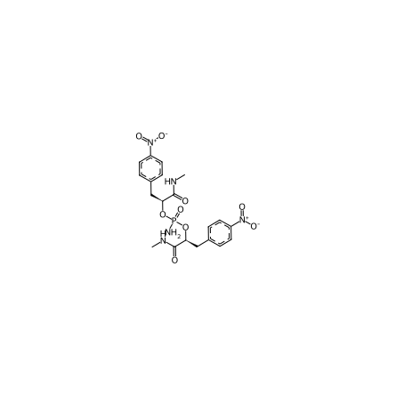 CNC(=O)[C@H](Cc1ccc([N+](=O)[O-])cc1)OP(N)(=O)O[C@@H](Cc1ccc([N+](=O)[O-])cc1)C(=O)NC